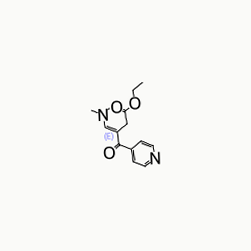 CCOC(=O)C/C(=C\N(C)C)C(=O)c1ccncc1